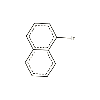 [Ir][c]1cccc2ccccc12